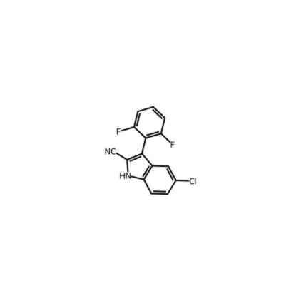 N#Cc1[nH]c2ccc(Cl)cc2c1-c1c(F)cccc1F